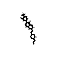 CCCC1CCC(CCc2ccc3c(F)c(-c4ccc(C(F)(F)F)c(F)c4)ccc3c2)CC1